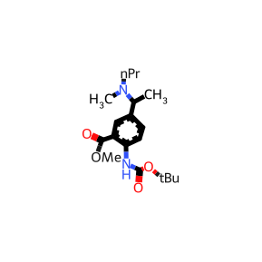 CCCN(C)C(C)c1ccc(NC(=O)OC(C)(C)C)c(C(=O)OC)c1